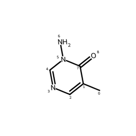 Cc1cncn(N)c1=O